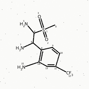 CS(=O)(=O)C(N)C(N)c1ccc(C(F)(F)F)cc1N